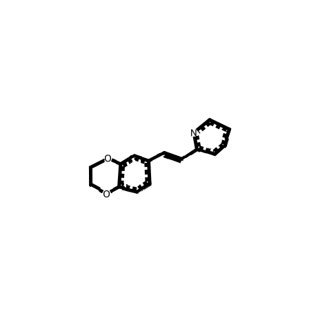 C(=Cc1ccccn1)c1ccc2c(c1)OCCO2